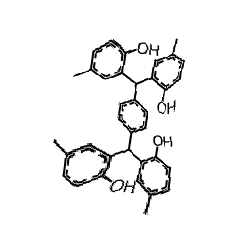 Cc1ccc(O)c(C(c2ccc(C(c3cc(C)ccc3O)c3cc(C)ccc3O)cc2)c2cc(C)ccc2O)c1